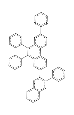 c1ccc(-c2cc3ccccc3cc2-c2ccc3c(c2)c(-c2ccccc2)c(-c2ccccc2)c2cc(-c4ncccn4)ccc23)cc1